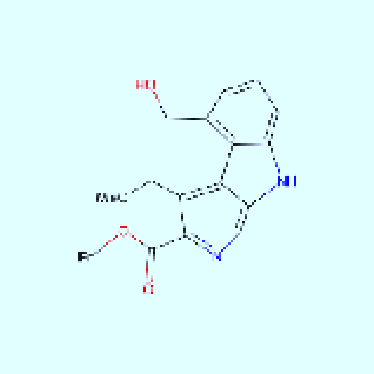 COCc1c(C(=O)OC(C)C)ncc2[nH]c3cccc(CO)c3c12